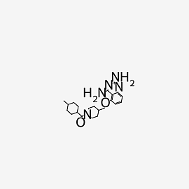 CC1CCC(C(=O)N2CCC(COc3cccc4nc(N)nc(N)c34)CC2)CC1